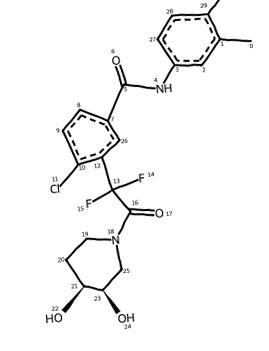 Cc1cc(NC(=O)c2ccc(Cl)c(C(F)(F)C(=O)N3CC[C@H](O)[C@H](O)C3)c2)ccc1F